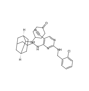 N#Cc1cnc(NCc2ccccc2Cl)nc1NCC12CC3C[C@H](C1)C(NC1CCC(=O)CC1)[C@@H](C3)C2